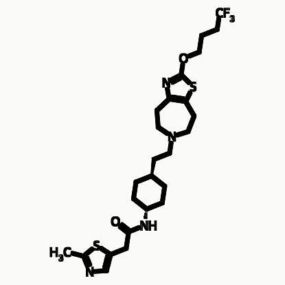 Cc1ncc(CC(=O)N[C@H]2CC[C@H](CCN3CCc4nc(OCCCC(F)(F)F)sc4CC3)CC2)s1